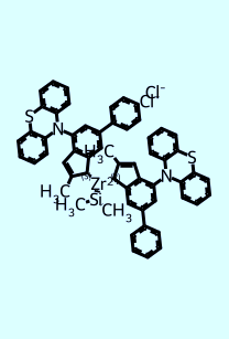 CC1=Cc2c(cc(-c3ccccc3)cc2N2c3ccccc3Sc3ccccc32)[C@@H]1[Zr+2]([C@H]1C(C)=Cc2c1cc(-c1ccccc1)cc2N1c2ccccc2Sc2ccccc21)=[Si](C)C.[Cl-].[Cl-]